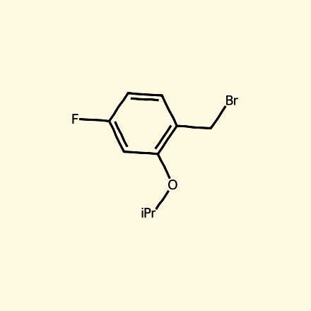 CC(C)Oc1cc(F)ccc1CBr